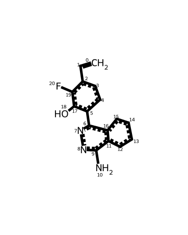 C=Cc1ccc(-c2nnc(N)c3ccccc23)c(O)c1F